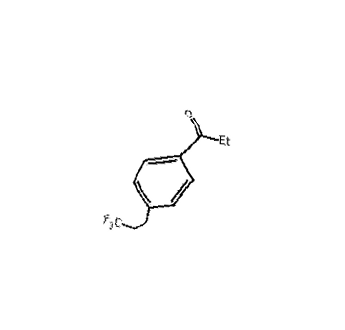 CCC(=O)c1ccc(CC(F)(F)F)cc1